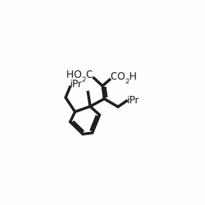 CC(C)CC(=C(C(=O)O)C(=O)O)C1(C)C=CC=CC1CC(C)C